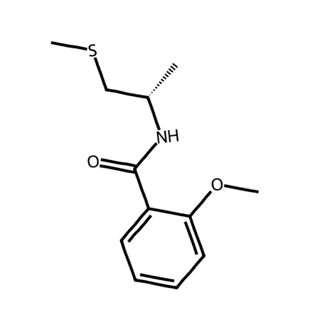 COc1ccccc1C(=O)N[C@@H](C)CSC